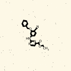 CCOC(=O)c1ccnc(Nc2ccc(C#N)c(OCc3ccccc3)c2)n1